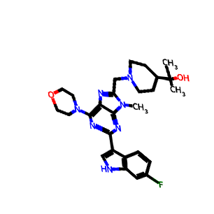 Cn1c(CN2CCC(C(C)(C)O)CC2)nc2c(N3CCOCC3)nc(-c3c[nH]c4cc(F)ccc34)nc21